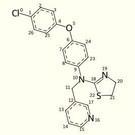 Clc1ccc(Oc2ccc(N(Cc3cccnc3)C3=NCCS3)cc2)cc1